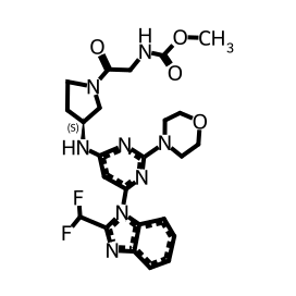 COC(=O)NCC(=O)N1CC[C@H](Nc2cc(-n3c(C(F)F)nc4ccccc43)nc(N3CCOCC3)n2)C1